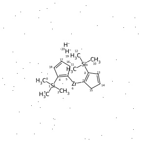 C[Si](C)(C)C1=[C]([Zr][C]2=C([Si](C)(C)C)C=CC2)CC=C1.[H-].[H-]